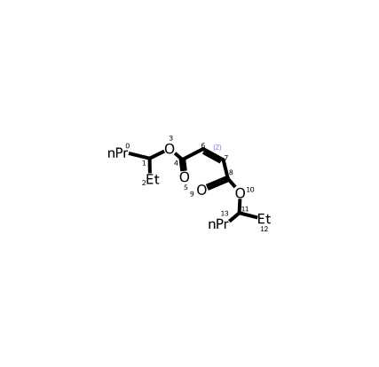 CCCC(CC)OC(=O)/C=C\C(=O)OC(CC)CCC